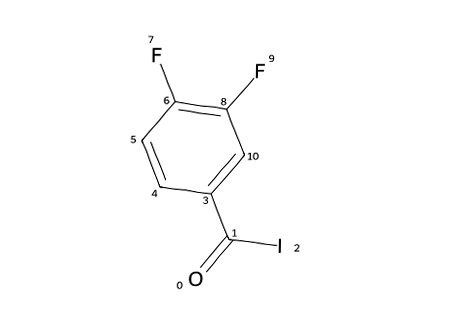 O=C(I)c1ccc(F)c(F)c1